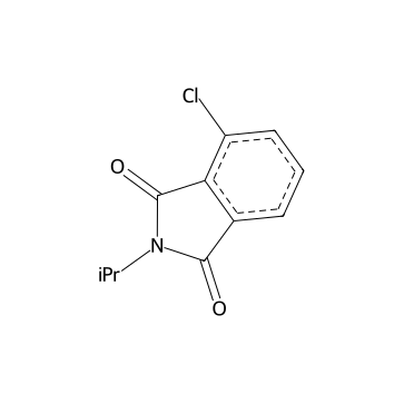 CC(C)N1C(=O)c2cccc(Cl)c2C1=O